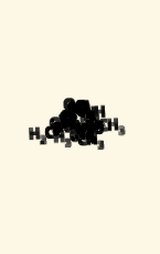 C=CC(=O)Nc1ccc(C(=O)N2CC[C@@H](Nc3ncc(C#N)c(OC)n3)C2)cc1OCCN(C)C